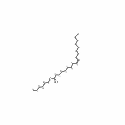 CCCCCCCC/C=C\CCCCCCCC(=O)OCCCCCC